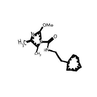 COc1nc(C)c(C)n1C(=O)NCCc1ccccc1